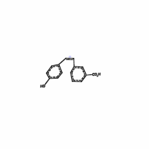 O=C(O)c1cccc(/C=C\c2ccc(O)cc2)c1